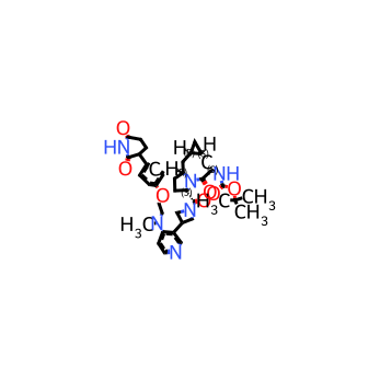 CN(CCOc1ccc(C2CCC(=O)NC2=O)cc1)c1ccncc1C1CN(C(=O)[C@@H]2CC[C@@H]3C[C@H]4C[C@H]4C[C@H](NC(=O)OC(C)(C)C)C(=O)N32)C1